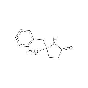 CCOC(=O)C1(Cc2ccccc2)CCC(=O)N1